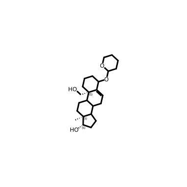 C[C@]12CCC3C(CC=C4C(OC5CCCCO5)CCC[C@@]43CO)C1CC[C@@H]2O